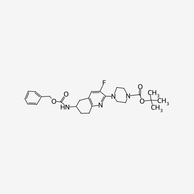 CC(C)(C)OC(=O)N1CCN(c2nc3c(cc2F)CC(NC(=O)OCc2ccccc2)CC3)CC1